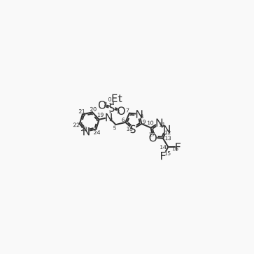 CCS(=O)(=O)N(Cc1cnc(-c2nnc(C(F)F)o2)s1)c1cccnc1